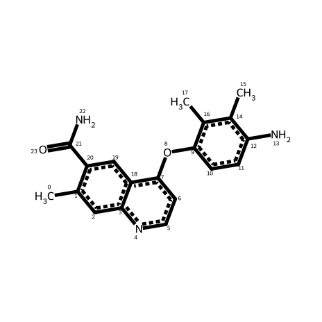 Cc1cc2nccc(Oc3ccc(N)c(C)c3C)c2cc1C(N)=O